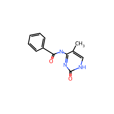 Cc1c[nH]c(=O)nc1[N]C(=O)c1ccccc1